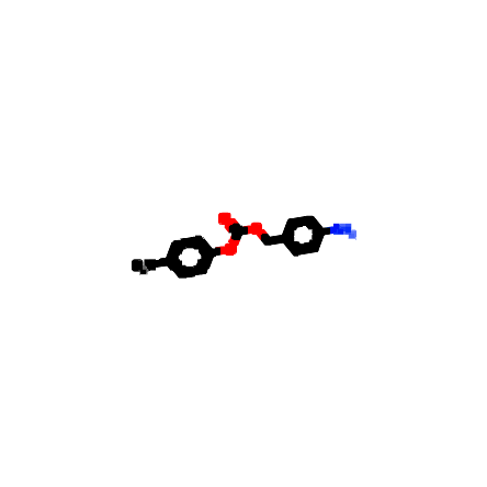 Nc1ccc(COC(=O)Oc2ccc([N+](=O)[O-])cc2)cc1